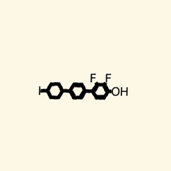 Oc1ccc(-c2ccc(C3CCC(I)CC3)cc2)c(F)c1F